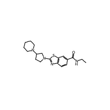 CCNC(=O)c1ccc2nc(N3CCC(N4CCCCC4)C3)sc2c1